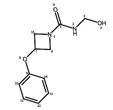 O=C(NCO)N1CC(Oc2ccccc2)C1